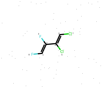 FC=C(F)/C(Cl)=[C]/Cl